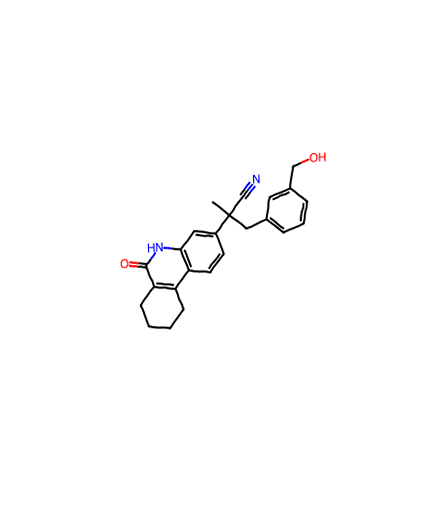 CC(C#N)(Cc1cccc(CO)c1)c1ccc2c3c(c(=O)[nH]c2c1)CCCC3